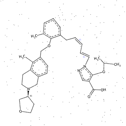 Cc1cccc(C/C=C\C=C\n2ncc(C(=O)O)c2OC(C)C)c1OCc1ccc2c(c1C)CCN([C@H]1CCOC1)C2